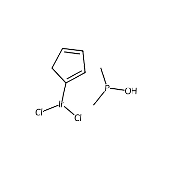 CP(C)O.[Cl][Ir]([Cl])[C]1=CC=CC1